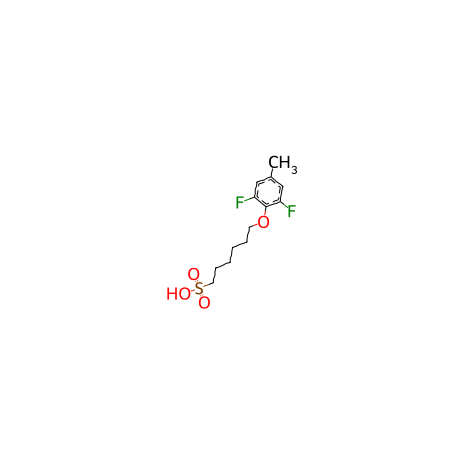 Cc1cc(F)c(OCCCCCCS(=O)(=O)O)c(F)c1